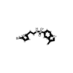 Cc1coc2ccc(S(=O)(=O)NCCc3ccc(Br)s3)cc12